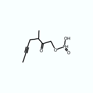 CC#CCC(C)C(=O)CO[PH](=O)O